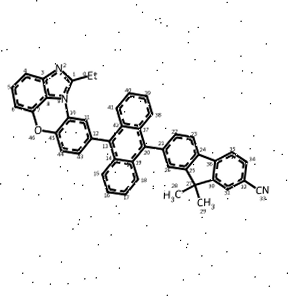 CCc1nc2cccc3c2n1-c1cc(-c2c4ccccc4c(-c4ccc5c(c4)C(C)(C)c4cc(C#N)ccc4-5)c4ccccc24)ccc1O3